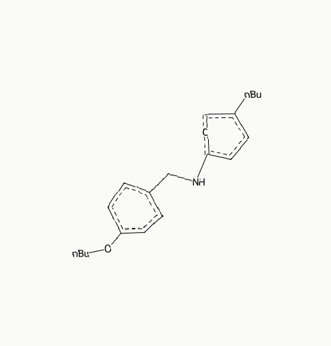 CCCCOc1ccc(CNc2ccc(CCCC)cc2)cc1